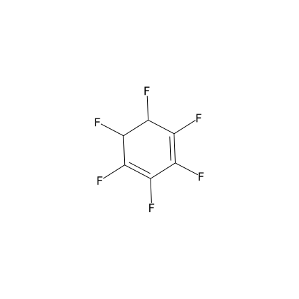 FC1=C(F)C(F)C(F)C(F)=C1F